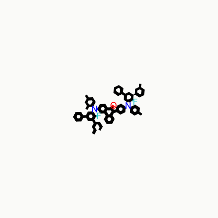 C=C/C=C(\C=C/C)c1cc(-c2ccccc2)cc(N(C2=CC=C(C)CC2C)c2ccc3c(c2)c2ccccc2c2c4ccc(N(C5=C(F)[C@H](C6=CC=CC(C)C6)CC(C6=CCCC=C6)=C5)c5ccc(C)cc5)cc4oc32)c1F